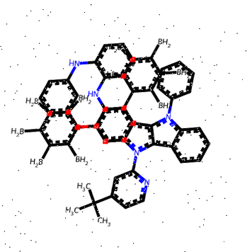 Bc1c(B)c(B)c(-c2cccc(-c3c(B)c(B)c(B)c(B)c3B)c2Nc2ccccc2Nc2cccc(Oc3ccc4c(c3)n(-c3cc(C(C)(C)C)ccn3)c3c5ccccc5n(-c5ccccc5)c43)c2)c(B)c1B